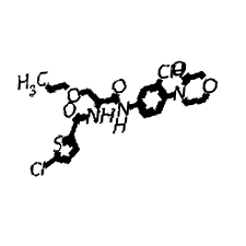 CCCOCC(NC(=O)c1ccc(Cl)s1)C(=O)Nc1ccc(N2CCOCC2=O)c(C)c1